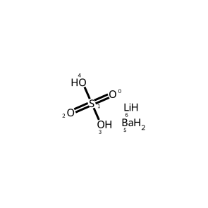 O=S(=O)(O)O.[BaH2].[LiH]